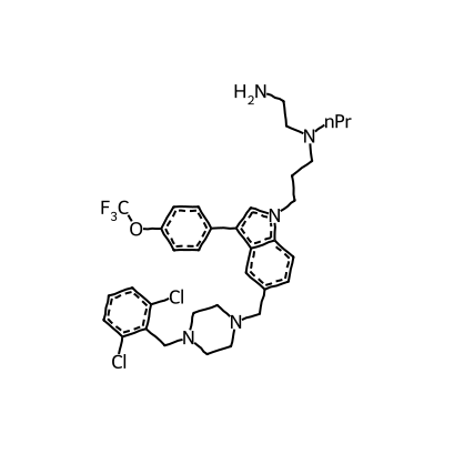 CCCN(CCN)CCCn1cc(-c2ccc(OC(F)(F)F)cc2)c2cc(CN3CCN(Cc4c(Cl)cccc4Cl)CC3)ccc21